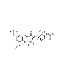 CCc1cc(OC(F)(F)F)cc2c1OC(C(F)(F)F)C(C(=O)O[C@H]1CO[C@H]3[C@@H]1OC[C@H]3O[N+](=O)[O-])=C2